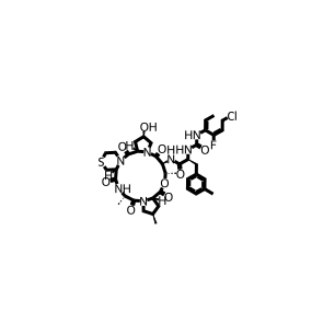 C/C=C(NC(=O)N[C@@H](Cc1cccc(C)c1)C(=O)N[C@@H]1C(=O)N2C[C@H](O)C[C@H]2C(=O)N2CCSC[C@H]2C(=O)N[C@@H](C)C(=O)N2C[C@H](C)C[C@H]2C(=O)O[C@H]1C)\C(F)=C/CCl